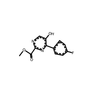 COC(=O)c1ncc(O)c(-c2ccc(F)cc2)n1